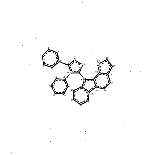 c1ccc(-c2nnc(-n3c4ccccc4c4ccc5ccoc5c43)n2-c2ccccc2)cc1